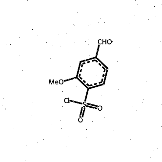 COc1cc([C]=O)ccc1S(=O)(=O)Cl